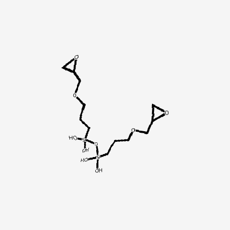 O[Si](O)(CCCOCC1CO1)O[Si](O)(O)CCCOCC1CO1